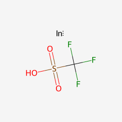 O=S(=O)(O)C(F)(F)F.[In]